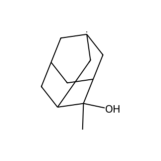 CC1(O)C2C[C]3CC(C2)CC1C3